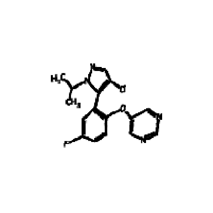 CC(C)n1ncc(Cl)c1-c1cc(F)ccc1Oc1cncnc1